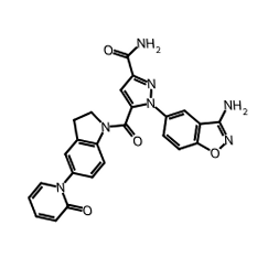 NC(=O)c1cc(C(=O)N2CCc3cc(-n4ccccc4=O)ccc32)n(-c2ccc3onc(N)c3c2)n1